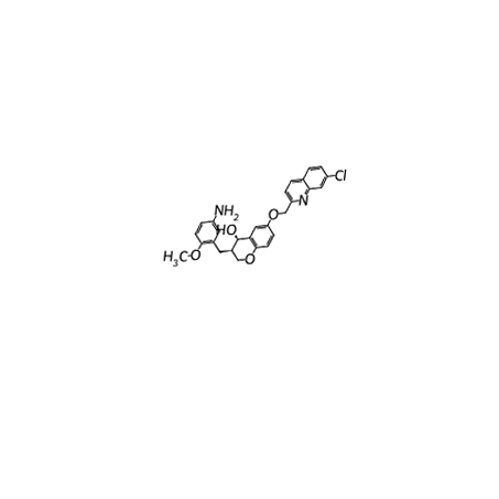 COc1ccc(N)cc1C[C@@H]1COc2ccc(OCc3ccc4ccc(Cl)cc4n3)cc2[C@@H]1O